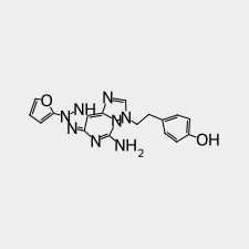 NC1=NC2=NN(c3ccco3)NC2=C2N=CN(CCc3ccc(O)cc3)N12